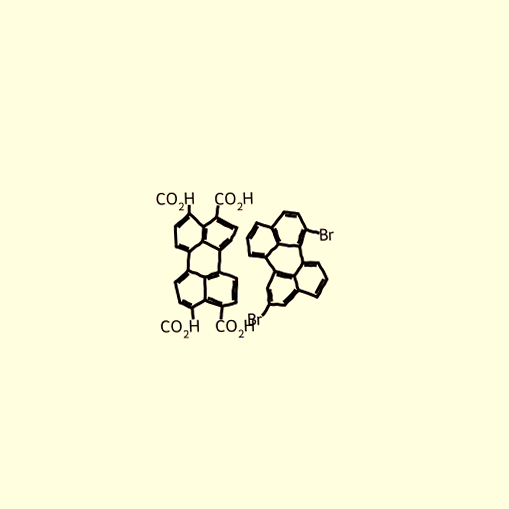 Brc1cc2cccc3c4c(Br)ccc5cccc(c(c1)c23)c54.O=C(O)c1ccc2c3ccc(C(=O)O)c4c(C(=O)O)ccc(c5ccc(C(=O)O)c1c25)c43